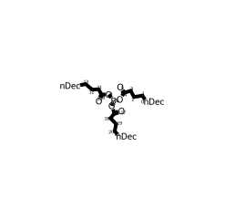 CCCCCCCCCCCCCC(=O)OB(OC(=O)CCCCCCCCCCCCC)OC(=O)CCCCCCCCCCCCC